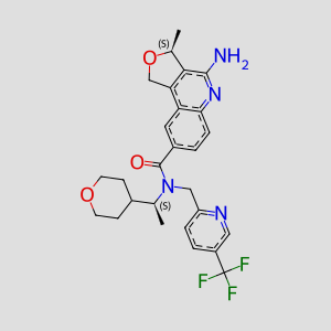 C[C@@H]1OCc2c1c(N)nc1ccc(C(=O)N(Cc3ccc(C(F)(F)F)cn3)[C@@H](C)C3CCOCC3)cc21